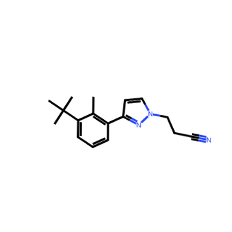 Cc1c(-c2ccn(CCC#N)n2)cccc1C(C)(C)C